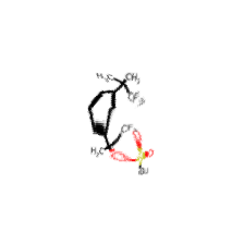 CCC(C)S(=O)(=O)OC(C)(c1cccc(C(C)(C)C(F)(F)F)c1)C(F)(F)F